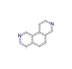 [c]1cncc2c1ccc1cnccc12